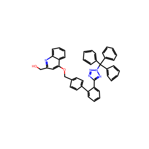 OCc1cc(OCc2ccc(-c3ccccc3-c3nnn(C(c4ccccc4)(c4ccccc4)c4ccccc4)n3)cc2)c2ccccc2n1